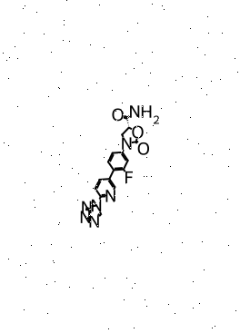 NC(=O)[C@H]1CN(c2ccc(-c3ccc(-n4cnnn4)nc3)c(F)c2)C(=O)O1